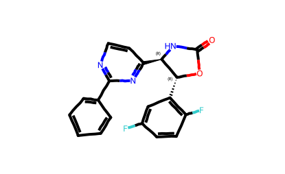 O=C1N[C@H](c2ccnc(-c3ccccc3)n2)[C@@H](c2cc(F)ccc2F)O1